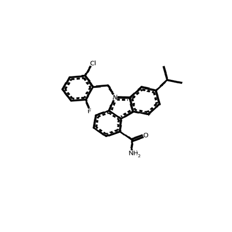 CC(C)c1c[c]c2c3c(C(N)=O)cccc3n(Cc3c(F)cccc3Cl)c2c1